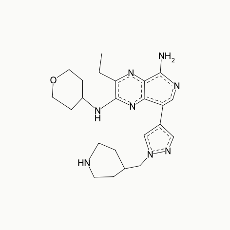 CCc1nc2c(N)ncc(-c3cnn(CC4CCNCC4)c3)c2nc1NC1CCOCC1